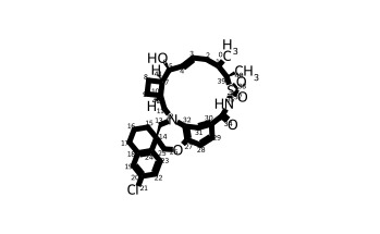 CC1C/C=C/[C@H](O)[C@@H]2CC[C@H]2CN2C[C@@]3(CCCc4cc(Cl)ccc43)COc3ccc(cc32)C(=O)NS(=O)(=O)[C@@H]1C